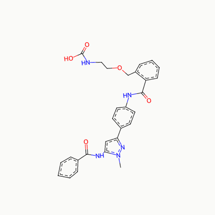 Cn1nc(-c2ccc(NC(=O)c3ccccc3COCCNC(=O)O)cc2)cc1NC(=O)c1ccccc1